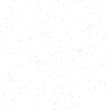 CC1(C)OC(=O)C(Oc2ccc(Cl)c(Cl)c2)=C1c1ccccc1S(C)(=O)=O